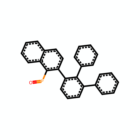 O=Pc1c(-c2cccc(-c3ccccc3)c2-c2ccccc2)ccc2ccccc12